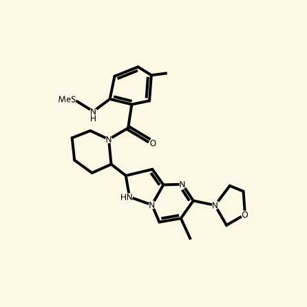 CSNc1ccc(C)cc1C(=O)N1CCCCC1C1C=C2N=C(N3CCOC3)C(C)=CN2N1